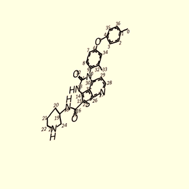 Cc1ccc(Oc2ccc(N3C(=O)Nc4c(C(=O)NC5CCCNC5)sc5nccc3c45)c(C)c2)cc1